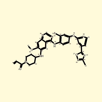 C=CC(=O)N1CCC(Nc2cc3c(Nc4ccc(Oc5cc(-c6nc(C)no6)ccn5)cc4F)ncnc3cc2OC)CC1